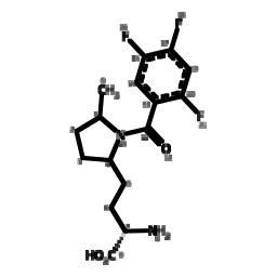 CC1CCC(CC[C@H](N)C(=O)O)N1C(=O)c1cc(F)c(F)cc1F